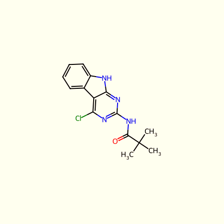 CC(C)(C)C(=O)Nc1nc(Cl)c2c(n1)[nH]c1ccccc12